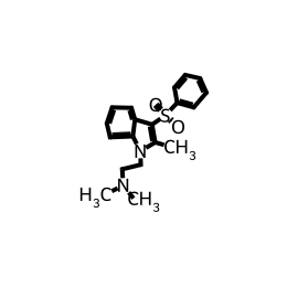 Cc1c(S(=O)(=O)c2ccccc2)c2ccccc2n1CCN(C)C